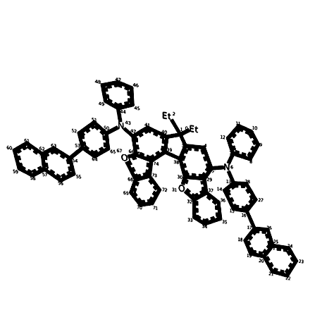 CCC1(CC)c2cc(N(c3ccccc3)c3ccc(-c4ccc5ccccc5c4)cc3)c3c(oc4ccccc43)c2-c2c1cc(N(c1ccccc1)c1ccc(-c3ccc4ccccc4c3)cc1)c1oc3ccccc3c21